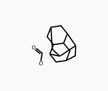 C1C2CC3C4CC5CC(C14)C(C2)C3C5.O=CCl